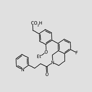 CCOc1cc(CC(=O)O)ccc1-c1ccc(F)c2c1CN(C(=O)CCc1ccccn1)CC2